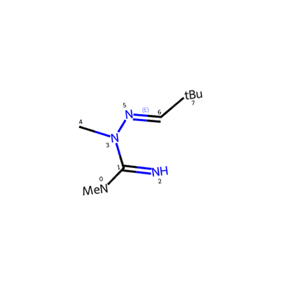 CNC(=N)N(C)/N=C/C(C)(C)C